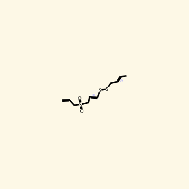 C=CCS(=O)(=O)C/C=C/SSC/C=C/C